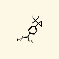 N/C(=N\O)c1ccc(C2(C(F)(F)I)CC2)cc1